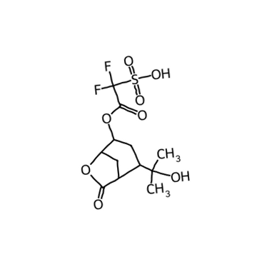 CC(C)(O)C1CC(OC(=O)C(F)(F)S(=O)(=O)O)C2CC1C(=O)O2